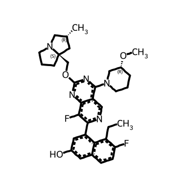 CCc1c(F)ccc2cc(O)cc(-c3ncc4c(N5CCC[C@@H](OC)C5)nc(OC[C@@]56CCCN5C[C@H](C)C6)nc4c3F)c12